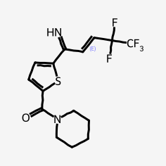 N=C(/C=C/C(F)(F)C(F)(F)F)c1ccc(C(=O)N2CCCCC2)s1